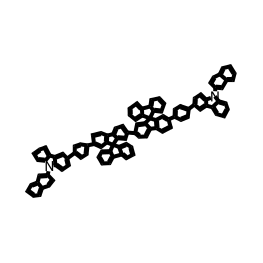 c1ccc2c(c1)-c1ccccc1C21c2cc(-c3ccc(-c4ccc5c(c4)c4ccccc4n5-c4ccc5ccccc5c4)cc3)ccc2-c2ccc(-c3ccc4c(c3)C3(c5ccccc5-c5ccccc53)c3cc(-c5ccc(-c6ccc7c(c6)c6ccccc6n7-c6ccc7ccccc7c6)cc5)ccc3-4)cc21